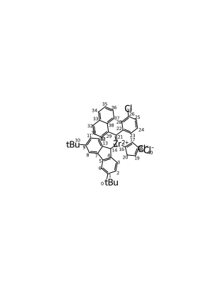 CC(C)(C)c1ccc2c(c1)-c1cc(C(C)(C)C)ccc1[CH]2/[Zr+2]([C]1=CC=CC1)=[C](/c1cccc(Cl)c1)c1cccc2ccccc12.[Cl-].[Cl-]